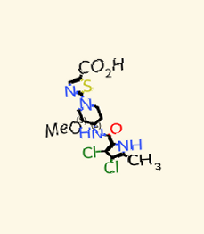 CO[C@H]1CN(c2ncc(C(=O)O)s2)CC[C@@H]1NC(=O)c1[nH]c(C)c(Cl)c1Cl